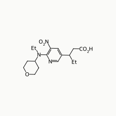 CCC(CC(=O)O)c1cnc(N(CC)C2CCOCC2)c([N+](=O)[O-])c1